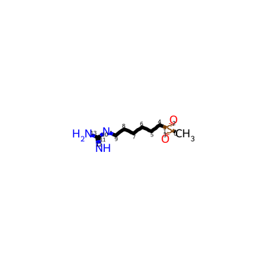 CS(=O)(=O)CCCCCC[N]C(=N)N